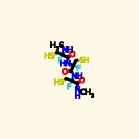 CNC(=O)[C@](F)(CS)NC(=O)[C@](F)(CS)NC(=O)[C@](F)(CS)NC